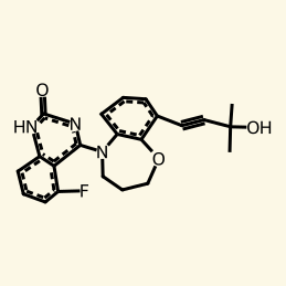 CC(C)(O)C#Cc1cccc2c1OCCCN2c1nc(=O)[nH]c2cccc(F)c12